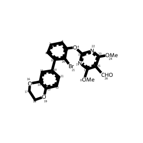 COc1nc(Oc2cccc(-c3ccc4c(c3)OCCO4)c2Br)nc(OC)c1C=O